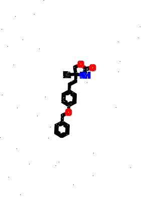 CCC1(CCc2ccc(OCc3ccccc3)cc2)COC(=O)N1